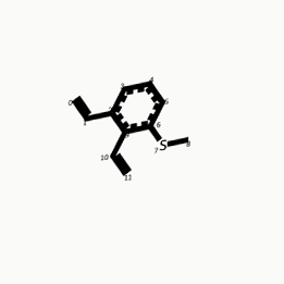 C=Cc1cccc(SC)c1C=C